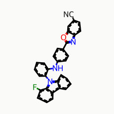 N#Cc1ccc2nc(-c3ccc(Nc4ccccc4-n4c5ccccc5c5cccc(F)c54)cc3)oc2c1